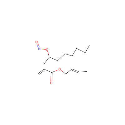 C=CC(=O)OCC=CC.CCCCCCC(C)ON=O